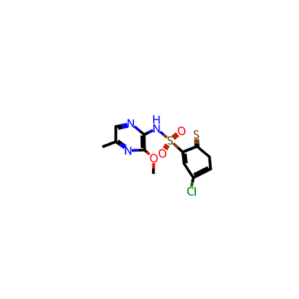 COc1nc(C)cnc1NS(=O)(=O)C1=CC(Cl)=CCC1=S